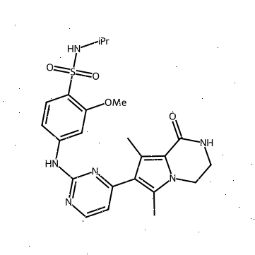 COc1cc(Nc2nccc(-c3c(C)c4n(c3C)CCNC4=O)n2)ccc1S(=O)(=O)NC(C)C